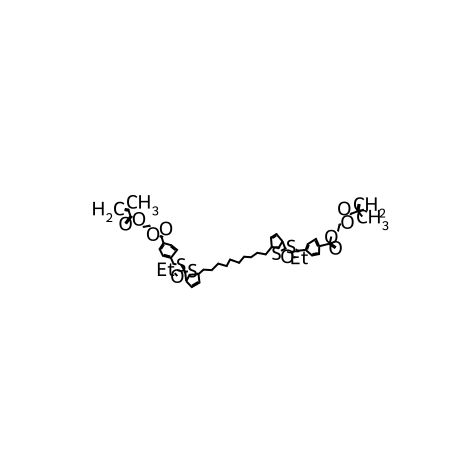 C=C(C)C(=O)OCCOC(=O)c1ccc(CSC2(OCC)SC3(CCCCCCCCCCC45C=CC(C4)C(OCC)(SCc4ccc(C(=O)OCCOC(=O)C(=C)C)cc4)S5)C=CC2C3)cc1